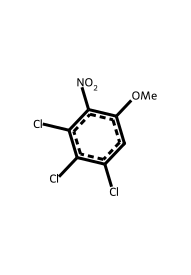 COc1cc(Cl)c(Cl)c(Cl)c1[N+](=O)[O-]